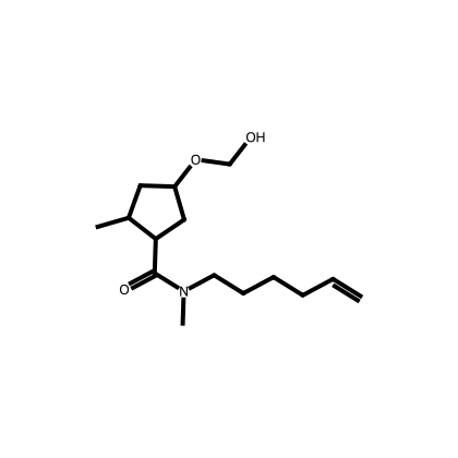 C=CCCCCN(C)C(=O)C1CC(OCO)CC1C